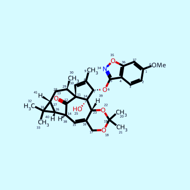 COc1ccc2c(O[C@H]3C(C)=C[C@]45C(=O)[C@@H](C=C6COC(C)(C)O[C@H]6[C@]34O)[C@H]3[C@@H](C[C@H]5C)C3(C)C)noc2c1